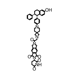 O=C1CCC(N2C(=O)c3cc4c(cc3C2=O)CN(C(=O)CN2CC3(CCN(c5ccc([C@@H]6c7ccc(O)cc7CC[C@@H]6c6ccccc6)cc5)CC3)C2)C4)C(=O)N1